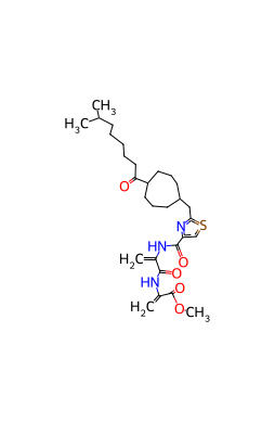 C=C(NC(=O)c1csc(CC2CCCC(C(=O)CCCCCC(C)C)CCC2)n1)C(=O)NC(=C)C(=O)OC